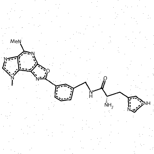 CNc1nc2oc(-c3cccc(CNC(=O)[C@@H](N)Cc4c[nH]cn4)c3)nc2c2c1ncn2C